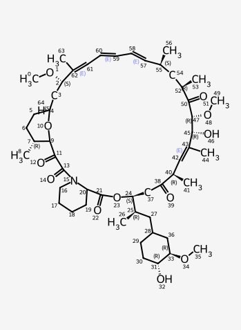 CO[C@H]1C[C@@H]2CC[C@@H](C)C(O2)C(=O)C(=O)N2CCCCC2C(=O)O[C@H]([C@H](C)CC2CC[C@@H](O)[C@H](OC)C2)CC(=O)[C@H](C)/C=C(\C)[C@@H](O)[C@@H](OC)C(=O)[C@H](C)C[C@H](C)/C=C/C=C/C=C/1C